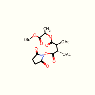 CC(=O)O[C@H](C(=O)OC(C)C(=O)OC(C)(C)C)[C@H](OC(C)=O)C(=O)ON1C(=O)CCC1=O